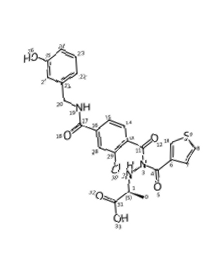 C[C@H](NN(C(=O)c1ccsc1)C(=O)c1ccc(C(=O)NCc2cccc(O)c2)cc1Cl)C(=O)O